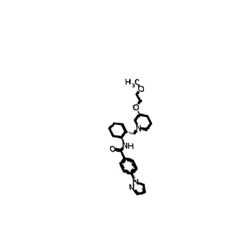 COCCO[C@@H]1CCCN(C[C@H]2CCCC[C@@H]2NC(=O)c2ccc(N3CCC=N3)cc2)C1